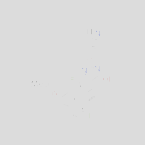 C#Cc1c(F)ccc2cc(OCOC)cc(-c3ccc4c(O)nc(OC[C@]56CCC[C@H]5N(C)CCC6)nc4c3F)c12